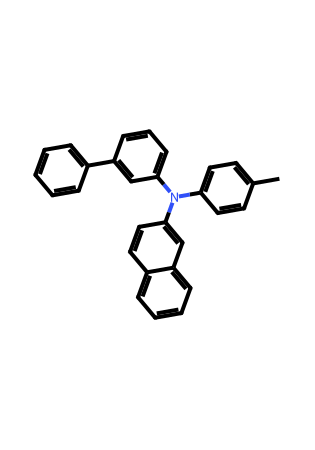 Cc1ccc(N(c2cccc(-c3ccccc3)c2)c2ccc3ccccc3c2)cc1